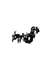 Cn1cc2c(c1C(=O)Nc1cc(F)c(F)c(F)c1)OC[C@H]1CN(C(=O)c3nccs3)C[C@H]1NS2(=O)=O